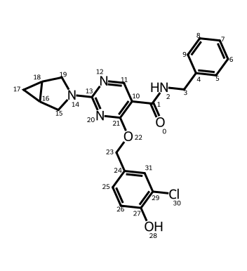 O=C(NCc1ccccc1)c1cnc(N2CC3CC3C2)nc1OCc1ccc(O)c(Cl)c1